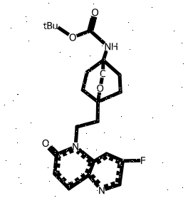 CC(C)(C)OC(=O)NC12CCC(CCn3c(=O)ccc4ncc(F)cc43)(CC1)OC2